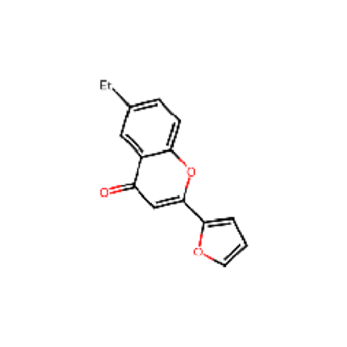 CCc1ccc2oc(-c3ccco3)[c]c(=O)c2c1